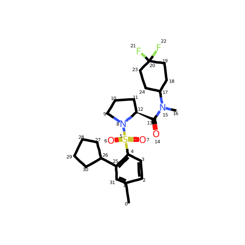 Cc1ccc(S(=O)(=O)N2CCC[C@H]2C(=O)N(C)C2CCC(F)(F)CC2)c(C2CCCC2)c1